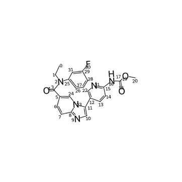 CCN(C(=O)c1ccc2ncc(-c3ccc(NC(=O)OC)nc3)n2c1)c1cccc(F)c1